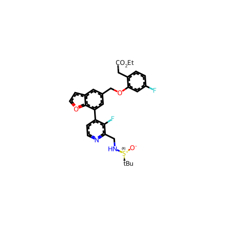 CCOC(=O)Cc1ccc(F)cc1OCc1cc(-c2ccnc(CN[S@@+]([O-])C(C)(C)C)c2F)c2occc2c1